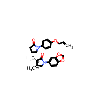 C=CCOc1ccc(N2CCCC2=O)cc1.C[C@@H]1CN(c2ccc3c(c2)OCO3)C(=O)[C@H]1C